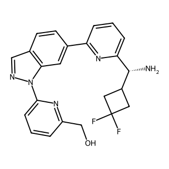 N[C@@H](c1cccc(-c2ccc3cnn(-c4cccc(CO)n4)c3c2)n1)C1CC(F)(F)C1